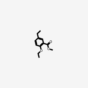 CCOc1ccc(CC)cc1C(=O)OC